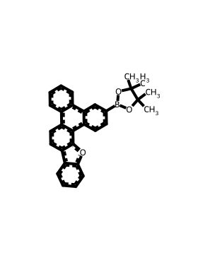 CC1(C)OB(c2ccc3c(c2)c2ccccc2c2ccc4c5ccccc5oc4c23)OC1(C)C